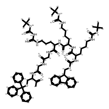 CC(=O)C(COC(c1ccccc1)(c1ccccc1)c1ccccc1)NC(=O)CNC(=O)CNC(=O)C(CCCNC(=N)NC(=O)OC(C)(C)C)NC(=O)C(CCCCNC(=O)OC(C)(C)C)NC(=O)C(CCCCNC(=O)OC(C)(C)C)NC(=O)OCC1c2ccccc2-c2ccccc21